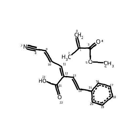 C=C(C)C(=O)OC.N#CC=CC=C(C=Cc1ccccc1)C(=O)O